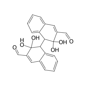 O=CC1=Cc2ccccc2C(C2c3ccccc3C=C(C=O)C2(O)O)C1(O)O